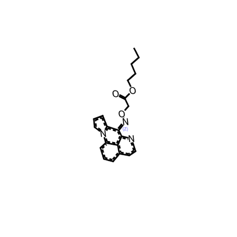 CCCCCOC(=O)CO/N=c1/c2nccc3cccc(c32)n2cccc12